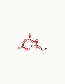 O=S([O-])O.O=S([O-])O.O=S([O-])O.[Au+3]